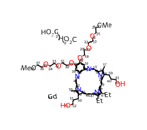 CC(=O)O.CC(=O)O.CCc1c(CC)c2cc3nc(cnc4cc(OCCOCCOCCOC)c(OCCOCCOCCOC)cc4ncc4nc(cc1[n-]2)C(CCCO)=C4C)C(C)=C3CCCO.[Gd]